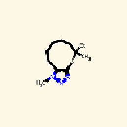 CCC1(C)CCCCCc2c(nnn2C)C1